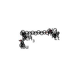 CCc1cnn2c(NCc3ccc(=O)n(CCOCCOCCOCCOCCOCCOCCOCCOCCN4C(=O)OCc5cnc(N[C@@H](C)c6ccc([C@H](CC7CC7)N7CCN(C(=O)OC(C)(C)C)CC7)cc6)nc54)c3)cc(N3CCCC[C@H]3CCO)nc12